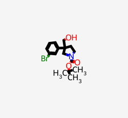 CC(C)(C)OC(=O)N1CCC(CO)(c2cccc(Br)c2)C1